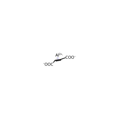 O=C([O-])/C=C/C(=O)[O-].[Al+2]